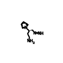 N=NC[C@H](CCN)n1cccc1